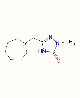 Cn1nc(CC2CCCCCC2)[nH]c1=O